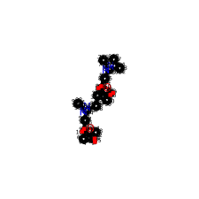 C1=CC2c3ccccc3C3(c4ccccc4Oc4c(-c5ccc(-c6cc(-c7cccc(-c8cccc9c8-c8ccccc8C98c9ccccc9Oc9c(-c%10ccc(-c%11cc(-c%12ccccc%12-c%12ccccc%12)nc(-c%12ccccc%12)n%11)cc%10)cccc98)c7)nc(-c7ccccc7)n6)cc5)cccc43)C2C=C1